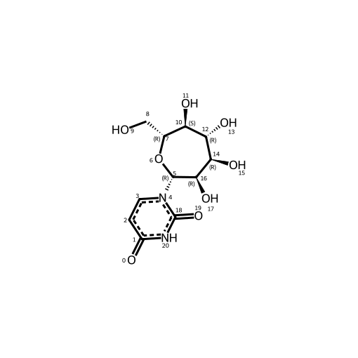 O=c1ccn([C@@H]2O[C@H](CO)[C@@H](O)[C@H](O)[C@@H](O)[C@H]2O)c(=O)[nH]1